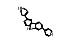 C1=C(c2ccc3[nH]c4cc(-c5ccncc5)ccc4c3c2)CCNC1